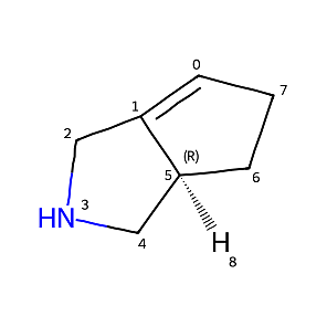 C1=C2CNC[C@@H]2CC1